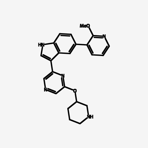 COc1ncccc1-c1ccc2[nH]cc(-c3cncc(OC4CCCNC4)n3)c2c1